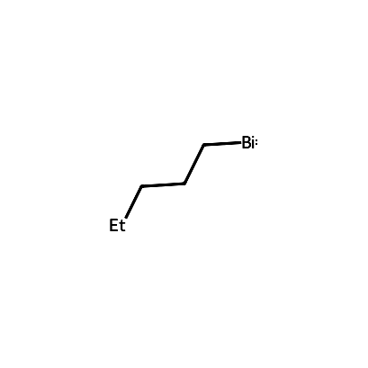 CCCC[CH2][Bi]